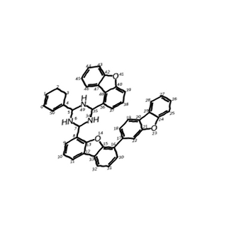 C1=CCCC(C2NC(c3cccc4c3oc3c(-c5ccc6c(c5)oc5ccccc56)cccc34)NC(c3cccc4oc5ccccc5c34)N2)=C1